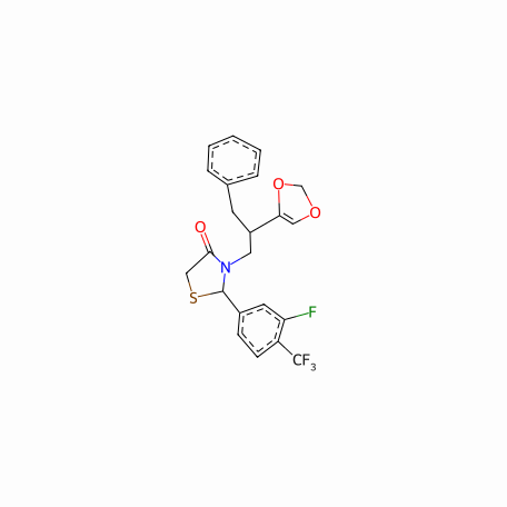 O=C1CSC(c2ccc(C(F)(F)F)c(F)c2)N1CC(Cc1ccccc1)C1=COCO1